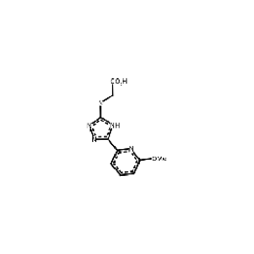 COc1cccc(-c2nnc(SCC(=O)O)[nH]2)n1